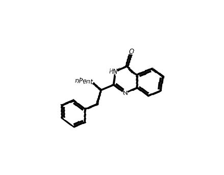 CCCCCC(Cc1ccccc1)c1nc2ccccc2c(=O)[nH]1